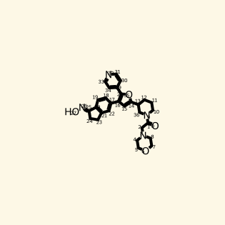 O=C(CN1CCOCC1)N1CCCC(c2cc(-c3ccc4c(c3)CCC4=NO)c(-c3ccncc3)o2)C1